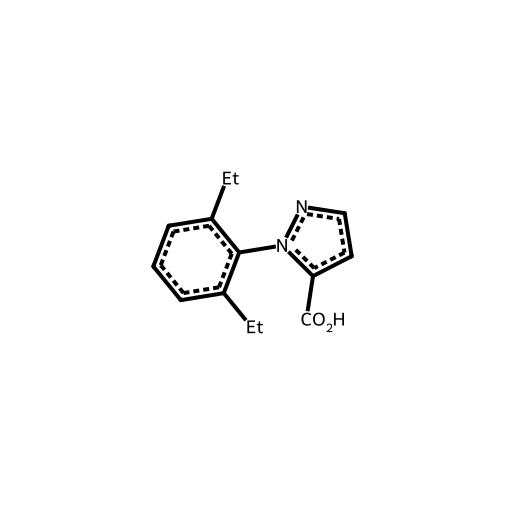 CCc1cccc(CC)c1-n1nccc1C(=O)O